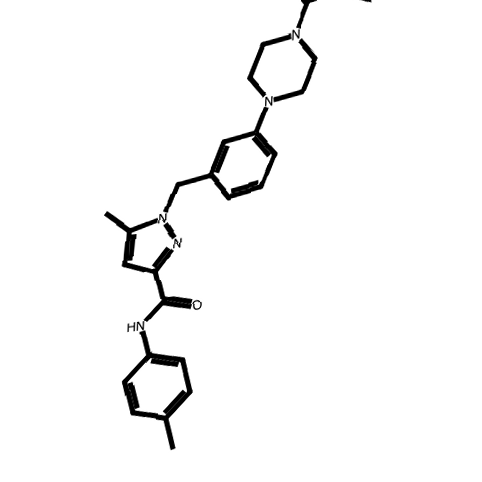 Cc1ccc(NC(=O)c2cc(C)n(Cc3cccc(N4CCN(C(=O)C5CC5)CC4)c3)n2)cc1